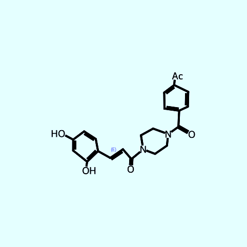 CC(=O)c1ccc(C(=O)N2CCN(C(=O)/C=C/c3ccc(O)cc3O)CC2)cc1